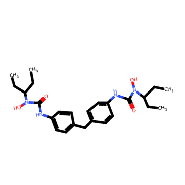 CCC(CC)N(O)C(=O)Nc1ccc(Cc2ccc(NC(=O)N(O)C(CC)CC)cc2)cc1